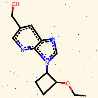 CCO[C@H]1CCC1n1cnc2cc(CO)cnc21